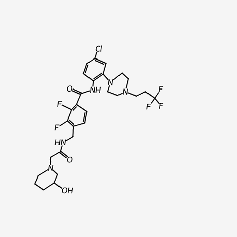 O=C(CN1CCCC(O)C1)NCc1ccc(C(=O)Nc2ccc(Cl)cc2N2CCN(CCC(F)(F)F)CC2)c(F)c1F